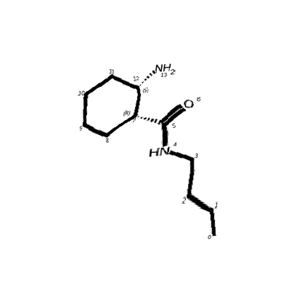 CCCCNC(=O)[C@@H]1CCCC[C@@H]1N